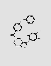 O=C(c1ccc(Oc2ccccc2)cc1)N1CCc2noc(-c3cc(Cl)c(O)cc3O)c2C1